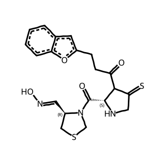 O=C(CCc1cc2ccccc2o1)C1C(=S)CN[C@@H]1C(=O)N1CSC[C@H]1C=NO